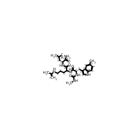 C=C(C)NCCCC(NC(=O)[C@H](Cc1c[nH]c2ccc(C)cc12)NC(=O)NC)C(=O)N[C@@H](CC(C)C)C(N)=O